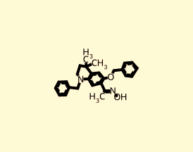 C/C(=N\O)c1cc2c(cc1OCc1ccccc1)C(C)(C)CCN2Cc1ccccc1